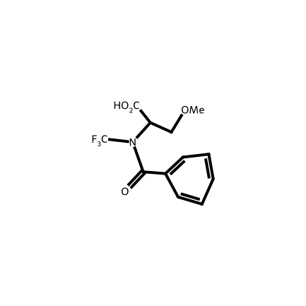 COCC(C(=O)O)N(C(=O)c1ccccc1)C(F)(F)F